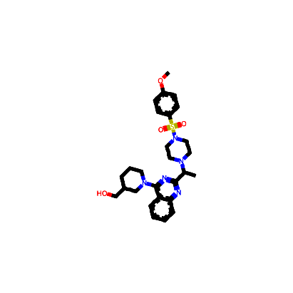 COc1ccc(S(=O)(=O)N2CCN(C(C)c3nc(N4CCCC(CO)C4)c4ccccc4n3)CC2)cc1